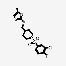 Cc1csc(SCC2CCN(S(=O)(=O)c3ccc(F)c(Cl)c3)CC2)n1